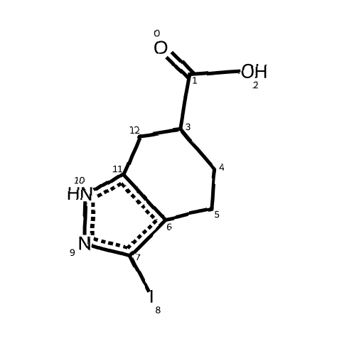 O=C(O)C1CCc2c(I)n[nH]c2C1